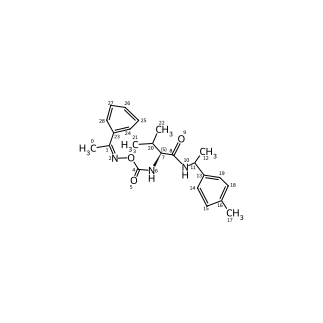 CC(=NOC(=O)N[C@H](C(=O)NC(C)c1ccc(C)cc1)C(C)C)c1ccccc1